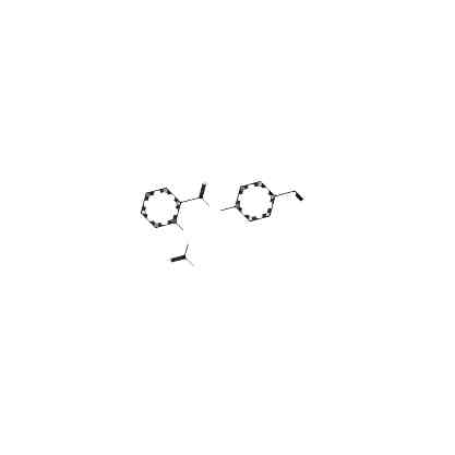 CC(=O)Oc1ccccc1C(=O)Oc1ccc(C=O)cc1